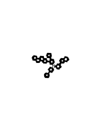 c1ccc(-c2ccc(N(c3cccc(-c4ccc5ccccc5c4)c3)c3ccc(-c4ccccc4)c(-c4ccc5c(ccc6c7ccccc7ccc56)c4)c3)cc2)cc1